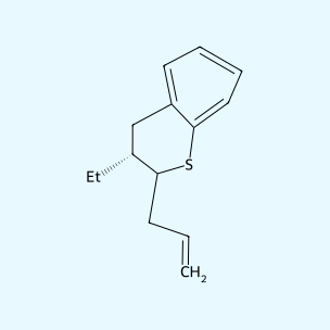 C=CCC1Sc2ccccc2C[C@H]1CC